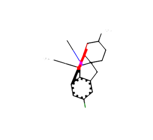 COC1CCC2(CC1)Cc1cc(F)ccc1C21N=C(SC)N(C)C1=O